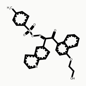 Cc1ccc(S(=O)(=O)O/N=C(/C(=O)c2ccc(OCCO)c3ccccc23)c2ccc3ncccc3c2)cc1